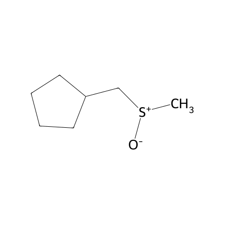 C[S+]([O-])CC1CCCC1